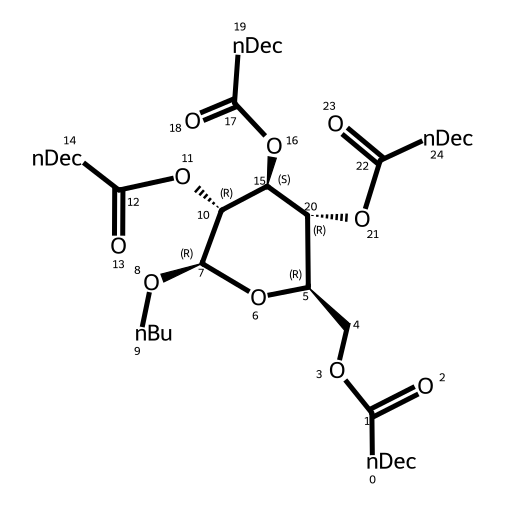 CCCCCCCCCCC(=O)OC[C@H]1O[C@@H](OCCCC)[C@H](OC(=O)CCCCCCCCCC)[C@@H](OC(=O)CCCCCCCCCC)[C@@H]1OC(=O)CCCCCCCCCC